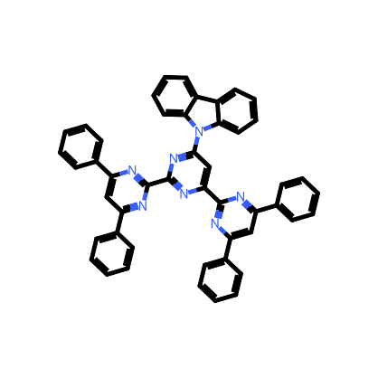 c1ccc(-c2cc(-c3ccccc3)nc(-c3cc(-n4c5ccccc5c5ccccc54)nc(-c4nc(-c5ccccc5)cc(-c5ccccc5)n4)n3)n2)cc1